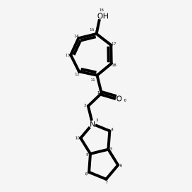 O=C(CN1CC2CCCC2C1)C1=CC=C=C(O)C=C1